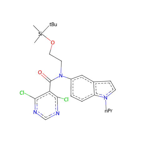 CCCn1ccc2cc(N(CCO[Si](C)(C)C(C)(C)C)C(=O)c3c(Cl)ncnc3Cl)ccc21